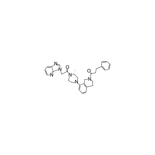 C[C@@H]1CN(c2cccc3c2CN(C(=O)CCc2ccccc2)CC3)CCN1C(=O)Cn1cnc2cccnc21